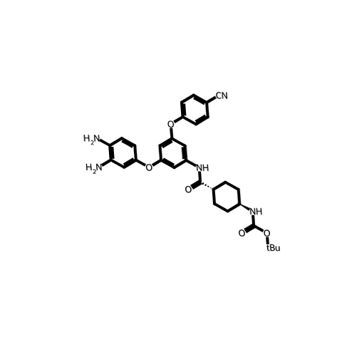 CC(C)(C)OC(=O)N[C@H]1CC[C@H](C(=O)Nc2cc(Oc3ccc(C#N)cc3)cc(Oc3ccc(N)c(N)c3)c2)CC1